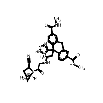 CNC(=O)c1ccc2c(c1)Cc1cc(C(=O)NC)ccc1C2(C[C@@H](C)NCC(=O)N1C(C#N)C[C@@H]2C[C@@H]21)c1nn[nH]n1